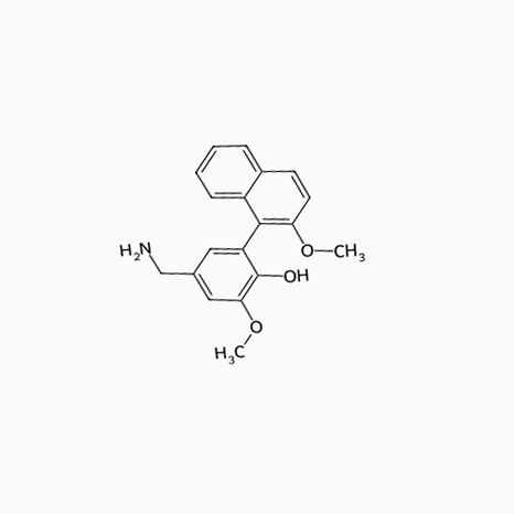 COc1cc(CN)cc(-c2c(OC)ccc3ccccc23)c1O